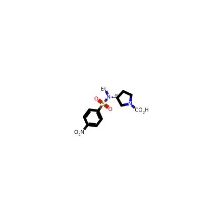 CCN([C@@H]1CCN(C(=O)O)C1)S(=O)(=O)c1ccc([N+](=O)[O-])cc1